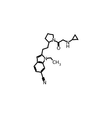 CCn1c(CCC2CCCN2C(=O)CNC2CC2)cc2ccc(C#N)cc21